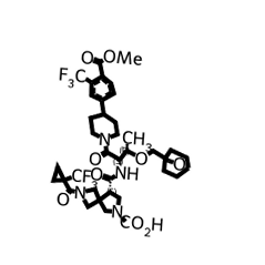 COC(=O)c1ccc(C2CCN(C(=O)[C@@H](NC(=O)[C@@H]3CN(C(=O)O)CC34CN(C(=O)C3(C(F)(F)F)CC3)C4)[C@@H](C)OCC34CCC(CC3)OC4)CC2)cc1C(F)(F)F